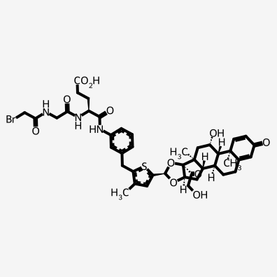 Cc1cc([C@@H]2O[C@@H]3C[C@H]4[C@@H]5CCC6=CC(=O)C=C[C@]6(C)[C@H]5[C@@H](O)C[C@]4(C)[C@]3(C(=O)CO)O2)sc1Cc1cccc(NC(=O)[C@H](CCC(=O)O)NC(=O)CNC(=O)CBr)c1